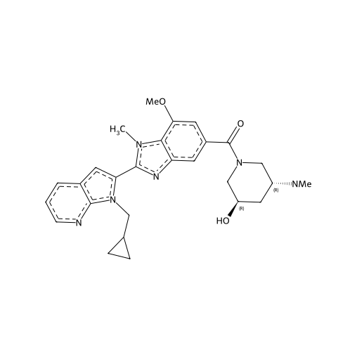 CN[C@@H]1C[C@@H](O)CN(C(=O)c2cc(OC)c3c(c2)nc(-c2cc4cccnc4n2CC2CC2)n3C)C1